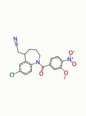 COc1cc(C(=O)N2CCCC(CC#N)c3cc(Cl)ccc32)ccc1[N+](=O)[O-]